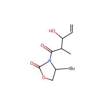 C=CC(O)C(C)C(=O)N1C(=O)OCC1C(C)(C)C